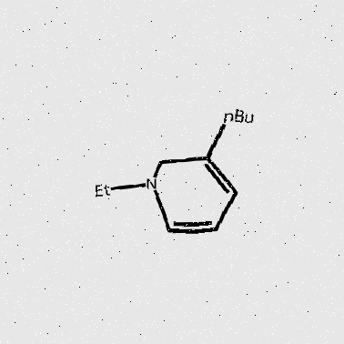 CCCCC1=CC=CN(CC)C1